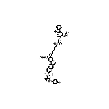 COc1cc2c(Oc3ccc(NC(=O)C4(C(=O)Nc5ccc(F)cc5)CC4)cc3F)ccnc2cc1OCCCCCNC(=O)CSC(=O)C(/C=N\C(C)=O)Cc1cn(C)c2ccccc12